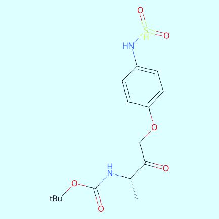 C[C@H](NC(=O)OC(C)(C)C)C(=O)COc1ccc(N[SH](=O)=O)cc1